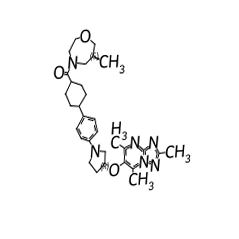 Cc1nc2nc(C)c(O[C@@H]3CCN(c4ccc(C5CCC(C(=O)N6CCOC[C@@H](C)C6)CC5)cc4)C3)c(C)n2n1